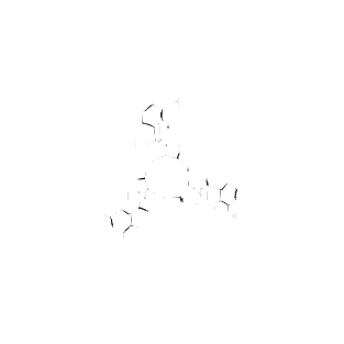 Cc1cc(O)c(O)c(C(=O)N[C@H]2COC(=O)[C@@H](NC(=O)c3cccc(O)c3O)COC(=O)[C@@H](NC(O)c3cccc(O)c3O)COC2=O)c1